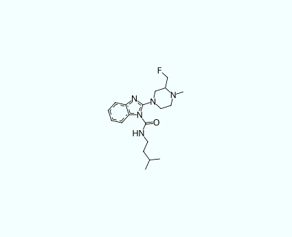 CC(C)CCNC(=O)n1c(N2CCN(C)C(CF)C2)nc2ccccc21